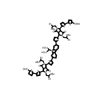 CCCCCCCCC(CCCCCCCC)n1c2cc(-c3ccc(C4=C5C(=O)N(CC(CC)CCCC)C(c6ccc(-c7ccc(C=O)s7)s6)=C5C(=O)N4CC(CC)CCCC)s3)ccc2c2ccc(-c3ccc(C4=C5C(=O)N(CC(CC)CCCC)C(c6ccc(-c7ccc(OC)s7)s6)=C5C(=O)N4CC(CC)CCCC)s3)cc21